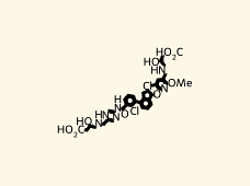 COc1nc(O[C@H]2CCc3c(-c4cccc(C(=O)Nc5cnc(CNC[C@@H](O)CC(=O)O)cn5)c4Cl)cccc32)c(Cl)cc1CNC[C@@H](O)CC(=O)O